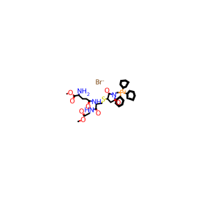 COC(=O)CNC(=O)C(CSC1CC(=O)N(C[P+](c2ccccc2)(c2ccccc2)c2ccccc2)C1=O)NC(=O)CCC(N)C(=O)OC.[Br-]